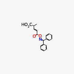 CC(C=CC(=O)ON=C(c1ccccc1)c1ccccc1)C(=O)O